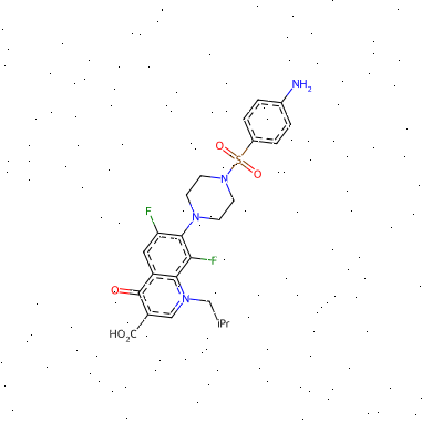 CC(C)Cn1cc(C(=O)O)c(=O)c2cc(F)c(N3CCN(S(=O)(=O)c4ccc(N)cc4)CC3)c(F)c21